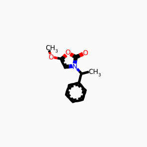 COc1cn(C(C)c2ccccc2)c(=O)o1